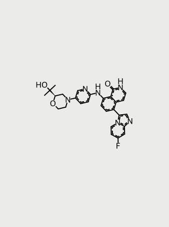 CC(C)(O)[C@H]1CN(c2ccc(Nc3ccc(-c4cnc5cc(F)ccn45)c4cc[nH]c(=O)c34)nc2)CCO1